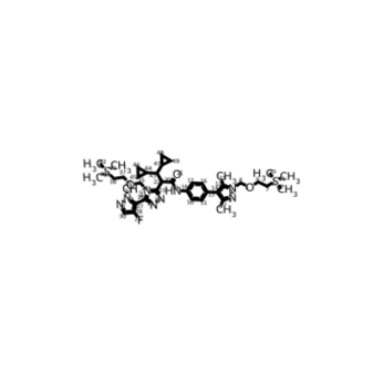 Cc1nn(COCCS(C)(C)C)c(C)c1-c1ccc(NC(=O)C(c2nnc(-c3c(F)cnn3C)n2COCCS(C)(C)C)C(C2CC2)C2CC2)cc1